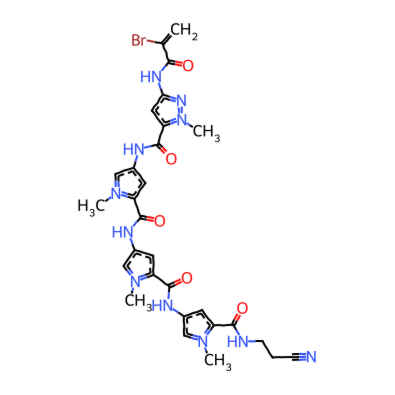 C=C(Br)C(=O)Nc1cc(C(=O)Nc2cc(C(=O)Nc3cc(C(=O)Nc4cc(C(=O)NCCC#N)n(C)c4)n(C)c3)n(C)c2)n(C)n1